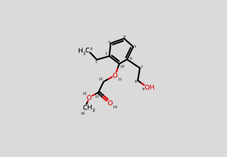 CCc1cccc(CCO)c1OCC(=O)OC